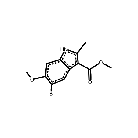 COC(=O)c1c(C)[nH]c2cc(OC)c(Br)cc12